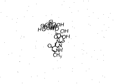 Cc1cc(=O)c2cn([C@@H]3O[C@H](COP(=O)(O)OP(=O)(O)OP(=O)(O)O)C(O)[C@@H]3O)c(=S)nc2[nH]1